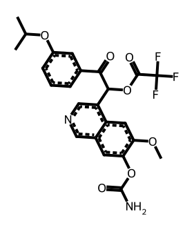 COc1cc2c(C(OC(=O)C(F)(F)F)C(=O)c3cccc(OC(C)C)c3)cncc2cc1OC(N)=O